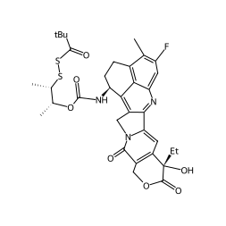 CC[C@@]1(O)C(=O)OCc2c1cc1n(c2=O)Cc2c-1nc1cc(F)c(C)c3c1c2[C@@H](NC(=O)O[C@H](C)[C@H](C)SSC(=O)C(C)(C)C)CC3